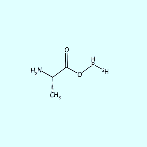 [2H]POC(=O)[C@H](C)N